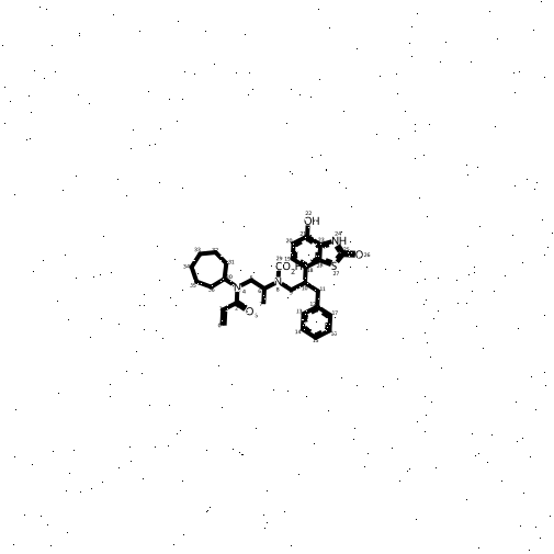 C=CC(=O)N(CC(C)N(CC(Cc1ccccc1)c1ccc(O)c2[nH]c(=O)sc12)C(=O)O)C1CCCCCC1